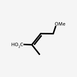 COCC=C(C)C(=O)O